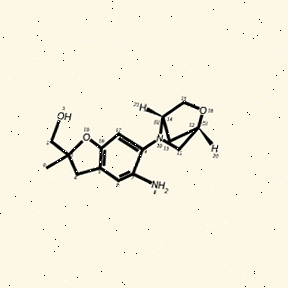 CC1(CO)Cc2cc(N)c(N3C[C@@H]4C[C@H]3CO4)cc2O1